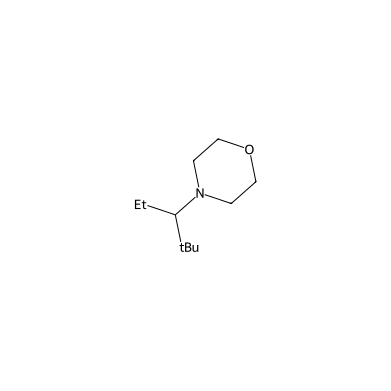 CCC(N1CCOCC1)C(C)(C)C